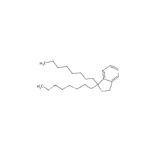 CCCCCCCCC1(CCCCCCCC)CCc2ccccc21